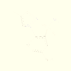 CC(=O)Nc1ccc(-n2cc(F)cn2)c(S(N)(=O)=O)c1